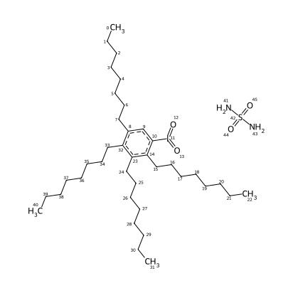 CCCCCCCCc1cc(I(=O)=O)c(CCCCCCCC)c(CCCCCCCC)c1CCCCCCCC.NS(N)(=O)=O